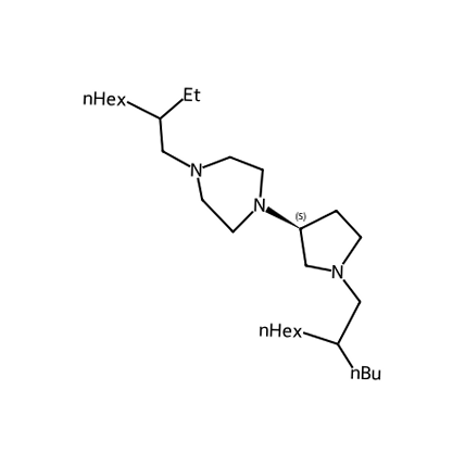 CCCCCCC(CC)CN1CCN([C@H]2CCN(CC(CCCC)CCCCCC)C2)CC1